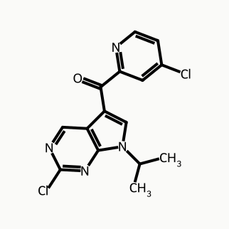 CC(C)n1cc(C(=O)c2cc(Cl)ccn2)c2cnc(Cl)nc21